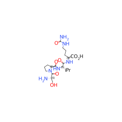 CC(C)[C@H](NC(=O)[C@@H]1CCCN1C(=O)[C@@H](N)CO)C(=O)N[C@@H](CCCNC(N)=O)C(=O)O